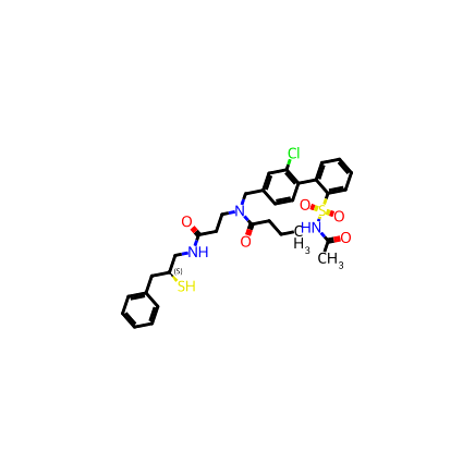 CCCC(=O)N(CCC(=O)NC[C@@H](S)Cc1ccccc1)Cc1ccc(-c2ccccc2S(=O)(=O)NC(C)=O)c(Cl)c1